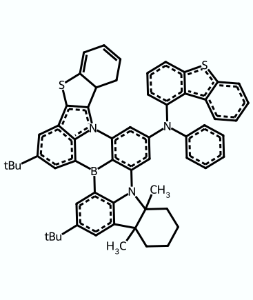 CC(C)(C)c1cc2c3c(c1)C1(C)CCCCC1(C)N3c1cc(N(c3ccccc3)c3cccc4sc5ccccc5c34)cc3c1B2c1cc(C(C)(C)C)cc2c4c(n-3c12)C1CC=CC=C1S4